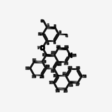 Cc1cc(C)cc(Oc2c3c(c(-c4cccc5ccccc45)c4cnccc24)=CCCC=3)c1